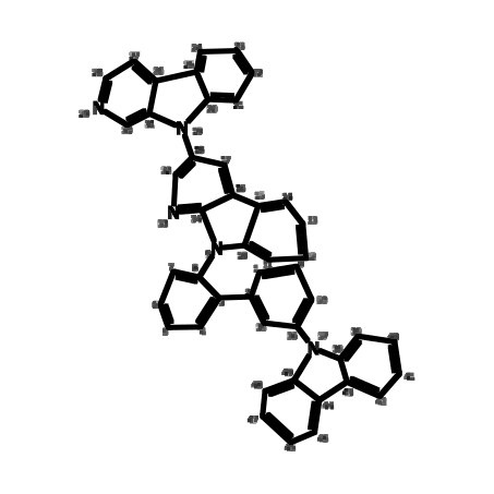 c1cc(-c2ccccc2-n2c3ccccc3c3cc(-n4c5ccccc5c5ccncc54)cnc32)cc(-n2c3ccccc3c3ccccc32)c1